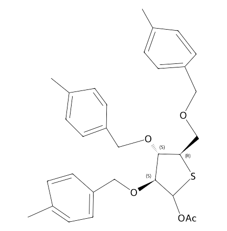 CC(=O)OC1S[C@H](COCc2ccc(C)cc2)[C@@H](OCc2ccc(C)cc2)[C@@H]1OCc1ccc(C)cc1